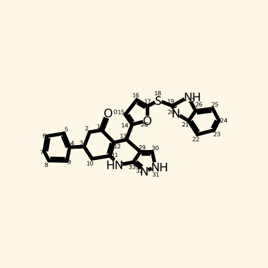 O=C1CC(c2ccccc2)CC2=C1C(c1ccc(Sc3nc4ccccc4[nH]3)o1)c1c[nH]nc1N2